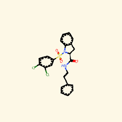 O=C(NCCc1ccccc1)[C@@H]1Cc2ccccc2N1S(=O)(=O)c1ccc(Cl)c(Cl)c1